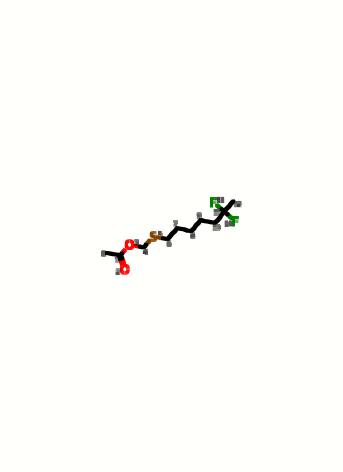 CC(=O)OCSCCCCCC(C)(F)F